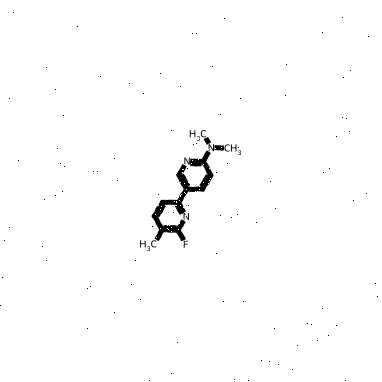 Cc1ccc(-c2ccc(N(C)C)nc2)nc1F